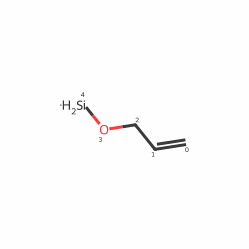 C=CCO[SiH2]